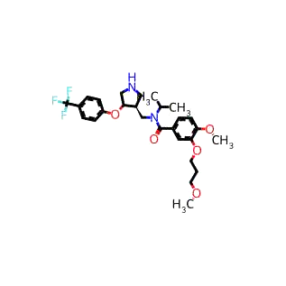 COCCCOc1cc(C(=O)N(C[C@@H]2CNCC2Oc2ccc(C(F)(F)F)cc2)C(C)C)ccc1OC